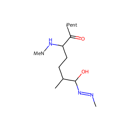 CCCC(C)C(=O)C(CCC(C)C(O)N=NC)NNC